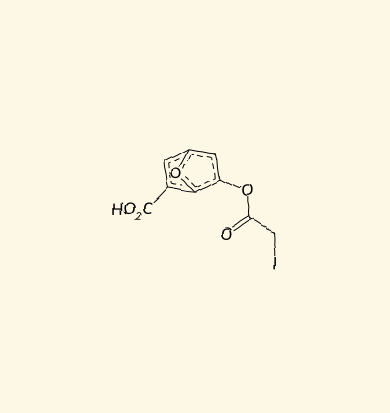 O=C(CI)Oc1cc2cc(C(=O)O)c1o2